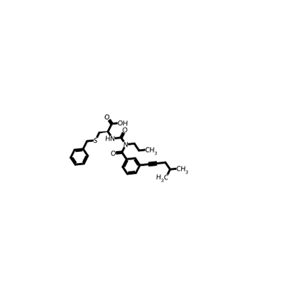 CCCN(C(=O)N[C@@H](CSCc1ccccc1)C(=O)O)C(=O)c1cccc(C#CCC(C)C)c1